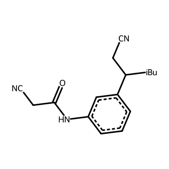 CCC(C)C(CC#N)c1cccc(NC(=O)CC#N)c1